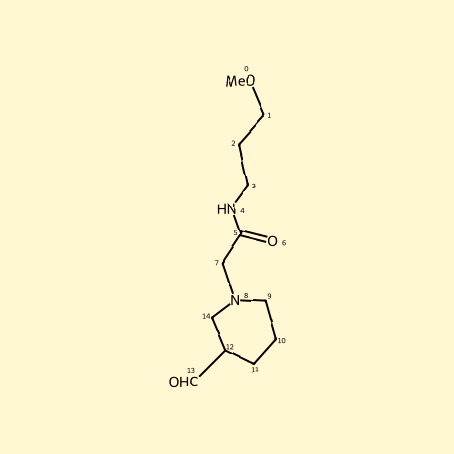 COCCCNC(=O)CN1CCCC(C=O)C1